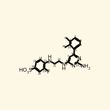 Cc1cccc(-c2cc(NCCNc3ccc(S(=O)(=O)O)cc3F)nc(N)n2)c1C